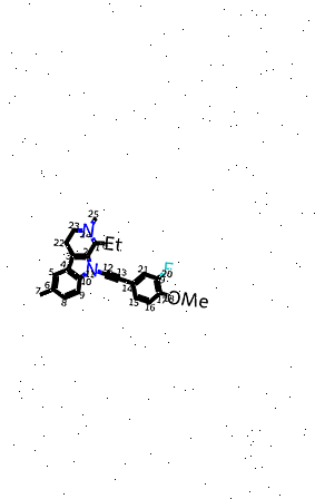 CCC1c2c(c3cc(C)ccc3n2C#Cc2ccc(OC)c(F)c2)CCN1C